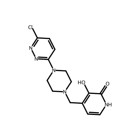 O=c1[nH]ccc(CN2CCN(c3ccc(Cl)nn3)CC2)c1O